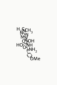 COc1ccc(C[C@H](N)C(=O)N[C@@H]2C(CO)O[C@@H](n3cnc4c(N(C)C)ncnc43)[C@@H]2O)cc1